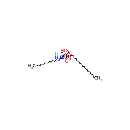 CCCCCCCCC=CCCCCCCCC(=O)OC(CO)C(CC(C)(C)N)OC(=O)CCCCCCCC=CCCCCCCCC